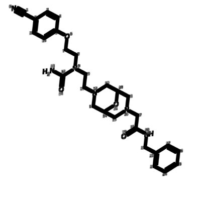 N#Cc1ccc(OCCN(CCN2CC3CN(CC(=O)NCc4ccccc4)CC(C2)O3)C(N)=O)cc1